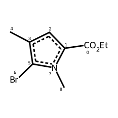 CCOC(=O)c1cc(C)c(Br)n1C